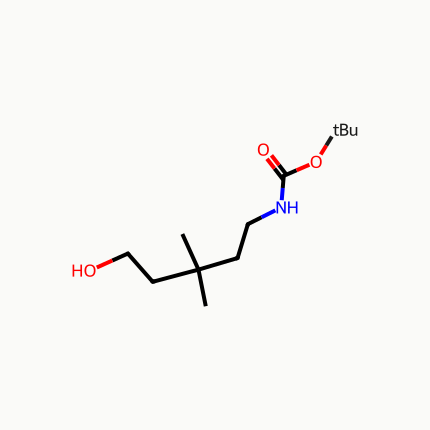 CC(C)(CCO)CCNC(=O)OC(C)(C)C